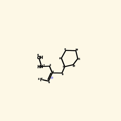 ONC/C(=C\F)CC1CCCCC1